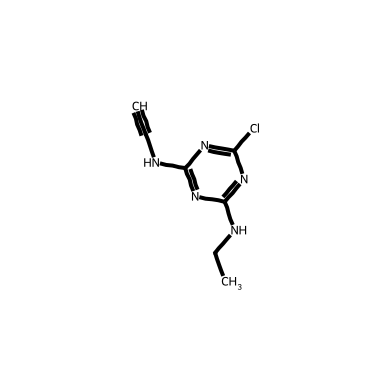 C#CNc1nc(Cl)nc(NCC)n1